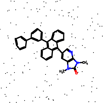 Cn1c(=O)n(C)c2ncc(-c3c4ccccc4c(-c4cccc(-c5ccccc5)c4)c4ccccc34)cc21